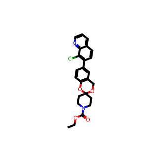 CCOC(=O)N1CCC2(CC1)OCc1cc(-c3ccc4cccnc4c3Cl)ccc1O2